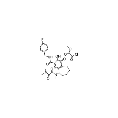 CN(C)C(=O)C(=O)N(C)C1CCCCn2c1nc(C(=O)NCc1ccc(F)cc1)c(O)c2=O.COC(=O)C(=O)Cl